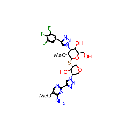 COc1cnc(-c2cn([C@H]3COC[C@@H](S[C@@H]4O[C@H](CO)[C@H](O)[C@H](n5cc(-c6cc(F)c(F)c(F)c6)nn5)[C@H]4OC)[C@@H]3O)nn2)nc1N